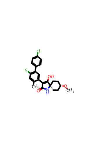 CO[C@H]1CC[C@]2(CC1)NC(=O)C(c1cc(-c3ccc(Cl)cc3)c(F)cc1C)=C2O